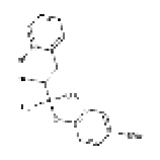 CSc1ccc(OC(C)(C)C(O)Cc2cccc[n+]2[O-])cc1